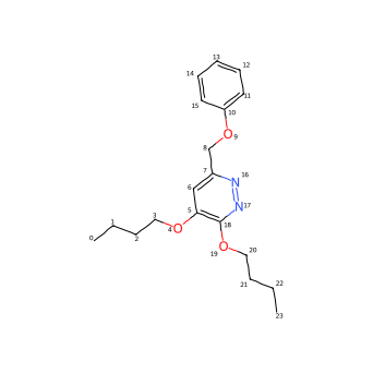 CCCCOc1cc(COc2ccccc2)nnc1OCCCC